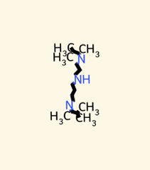 CC(=NCCCCNCCCN=C(C)C(C)C)C(C)C